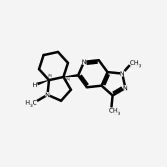 Cc1nn(C)c2cnc([C@]34CCCC[C@H]3N(C)CC4)cc12